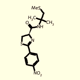 CSCC(C)(C)NC(=O)[C@@H]1CSC(c2ccc([N+](=O)[O-])cc2)=N1